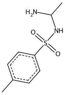 Cc1ccc(S(=O)(=O)NC(C)N)cc1